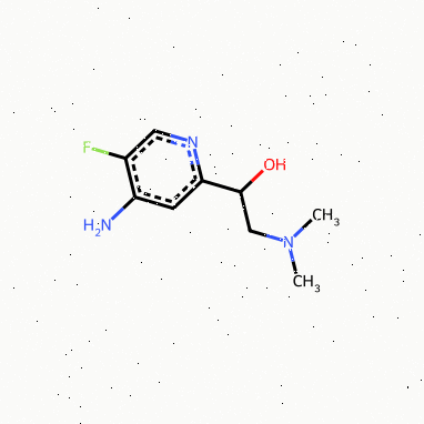 CN(C)CC(O)c1cc(N)c(F)cn1